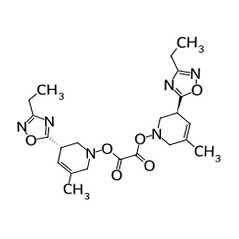 CCc1noc([C@H]2C=C(C)CN(OC(=O)C(=O)ON3CC(C)=C[C@H](c4nc(CC)no4)C3)C2)n1